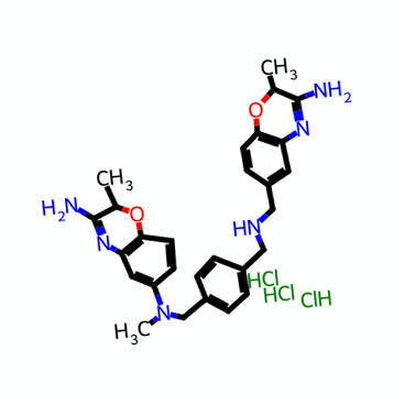 CC1Oc2ccc(CNCc3ccc(CN(C)c4ccc5c(c4)N=C(N)C(C)O5)cc3)cc2N=C1N.Cl.Cl.Cl